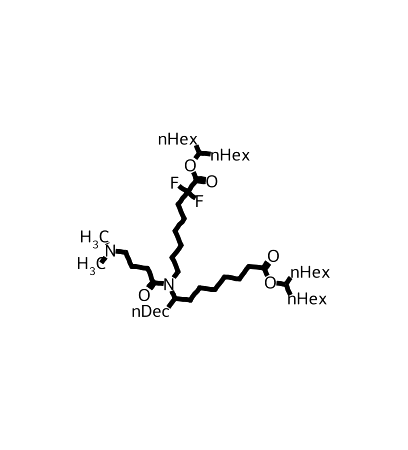 CCCCCCCCCCC(CCCCCCC(=O)OC(CCCCCC)CCCCCC)N(CCCCCCC(F)(F)C(=O)OC(CCCCCC)CCCCCC)C(=O)CCCN(C)C